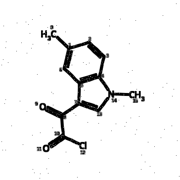 Cc1ccc2c(c1)c(C(=O)C(=O)Cl)cn2C